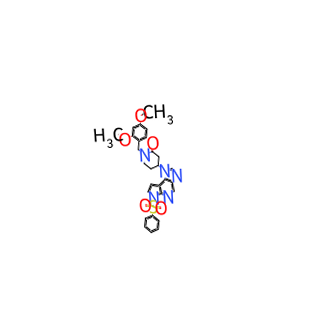 COc1ccc(CN2CCC(n3cnc4cnc5c(ccn5S(=O)(=O)c5ccccc5)c43)CC2=O)c(OC)c1